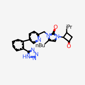 CCCCc1cn(C2C(=O)CC2C(C)C)c(=O)n1Cc1ccc(-c2ccccc2-c2nnn[nH]2)cn1